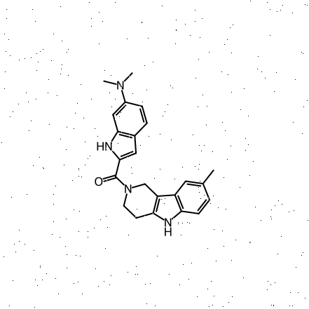 Cc1ccc2[nH]c3c(c2c1)CN(C(=O)c1cc2ccc(N(C)C)cc2[nH]1)CC3